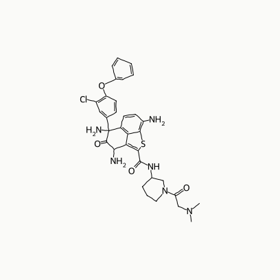 CN(C)CC(=O)N1CCCC(NC(=O)c2sc3c(N)ccc4c3c2C(N)C(=O)C4(N)c2ccc(Oc3ccccc3)c(Cl)c2)C1